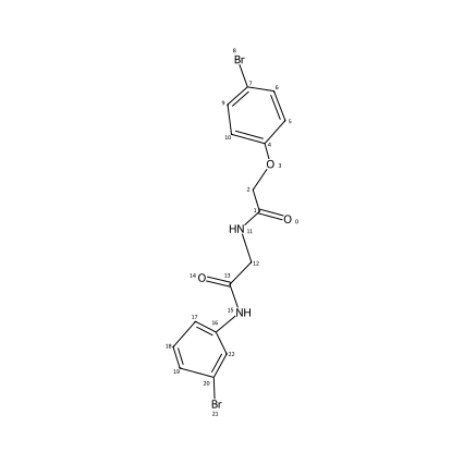 O=C(COc1ccc(Br)cc1)NCC(=O)Nc1cccc(Br)c1